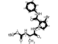 C[C@H](NC(=O)OC(C)(C)C)C(=O)Nn1ccc(Br)c1C(=O)Nc1ccccc1